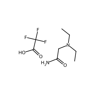 CCN(CC)CC(N)=O.O=C(O)C(F)(F)F